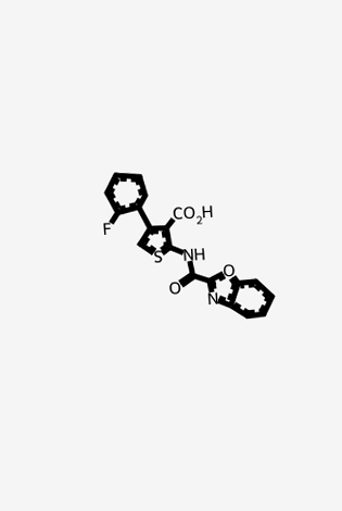 O=C(Nc1scc(-c2ccccc2F)c1C(=O)O)c1nc2ccccc2o1